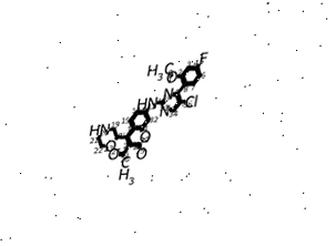 COc1cc(F)ccc1-c1nc(Nc2ccc3c(C4CNCCO4)c(C(C)=O)c(=O)oc3c2)ncc1Cl